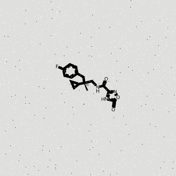 C[C@](CNC(=O)c1noc(=O)[nH]1)(Cc1ccc(F)cc1)C1CC1